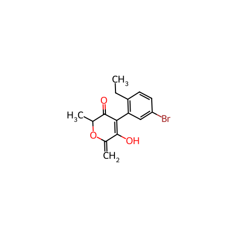 C=C1OC(C)C(=O)C(c2cc(Br)ccc2CC)=C1O